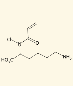 C=CC(=O)N(Cl)C(CCCCN)C(=O)O